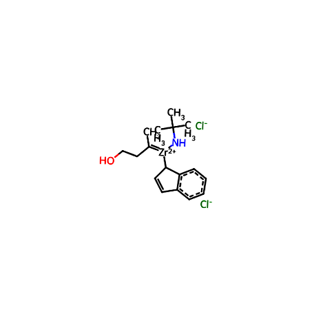 C/[C](CCO)=[Zr+2](\[NH]C(C)(C)C)[CH]1C=Cc2ccccc21.[Cl-].[Cl-]